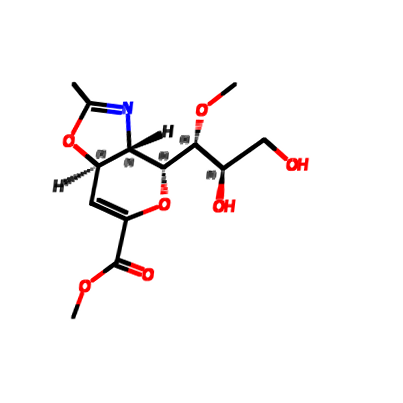 COC(=O)C1=C[C@H]2OC(C)=N[C@@H]2[C@H]([C@H](OC)[C@H](O)CO)O1